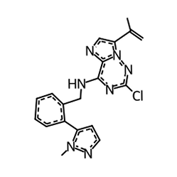 C=C(C)c1cnc2c(NCc3ccccc3-c3ccnn3C)nc(Cl)nn12